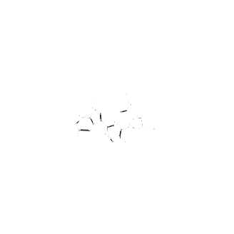 O=C(NCC(F)(F)F)[C@@H]1C[C@H](O)CN1c1nc(-c2c[nH]c3ncc(Cl)cc23)ncc1F